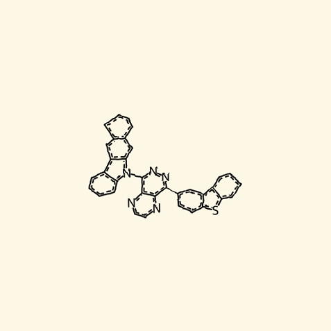 c1ccc2cc3c(cc2c1)c1ccccc1n3-c1nnc(-c2ccc3sc4ccccc4c3c2)c2nccnc12